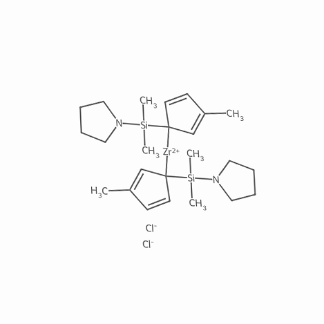 CC1=C[C]([Zr+2][C]2([Si](C)(C)N3CCCC3)C=CC(C)=C2)([Si](C)(C)N2CCCC2)C=C1.[Cl-].[Cl-]